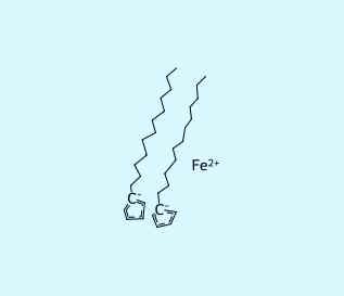 CCCCCCCCCCCC[c-]1cccc1.CCCCCCCCCCCC[c-]1cccc1.[Fe+2]